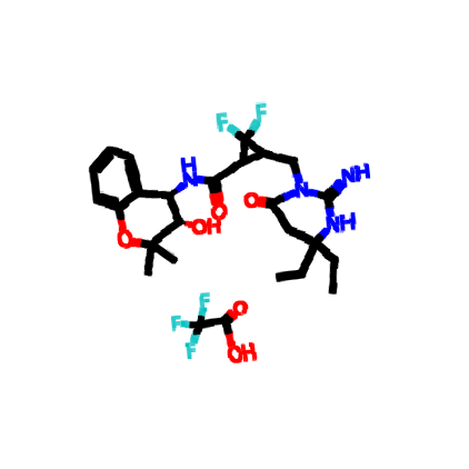 CCC1(CC)CC(=O)N(CC2C(C(=O)N[C@@H]3c4ccccc4OC(C)(C)[C@H]3O)C2(F)F)C(=N)N1.O=C(O)C(F)(F)F